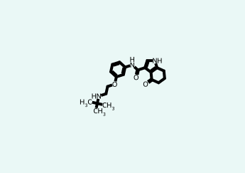 CC(C)(C)NCCOc1cccc(NC(=O)c2c[nH]c3c2C(=O)CCC3)c1